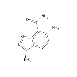 NC(=O)c1c(N)ccc2c(N)noc12